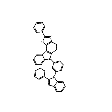 C1=CCCC(c2nc3ccccc3n2-c2cccc(-n3c4c(c5ccccc53)-c3oc(-c5ccccc5)nc3CC4)c2)=C1